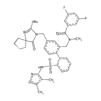 CCCCC1=NC2(CCCC2)C(=O)N1Cc1ccc(-c2ccccc2S(=O)(=O)Nc2noc(C)c2C)c(CN(C)C(=O)c2cc(F)cc(F)c2)c1